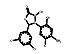 CN1C(=O)OC(c2cc(Cl)cc(Cl)c2)N1c1cc(Cl)c(N)cc1O